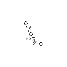 O=C(OCc1ccccc1)N1CCC(c2ccc(OCC(F)(F)COc3ccccc3)cc2)C(O)C1